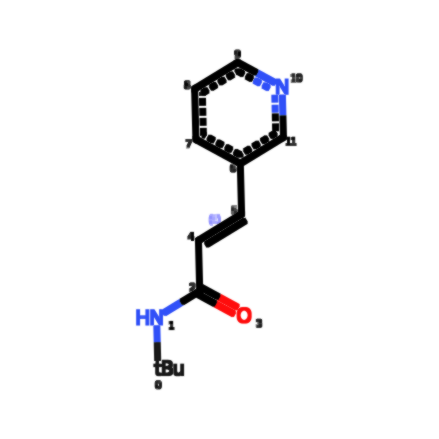 CC(C)(C)NC(=O)/C=C/c1cccnc1